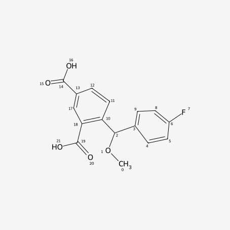 COC(c1ccc(F)cc1)c1ccc(C(=O)O)cc1C(=O)O